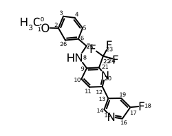 COc1cccc(CNc2ccc(-c3cncc(F)c3)nc2C(F)(F)F)c1